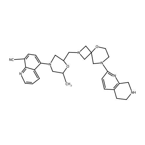 CC1CN(c2ccc(C#N)c3ncccc23)CC(CN2CC3(C2)CN(c2ccc4c(n2)CNCC4)CCO3)O1